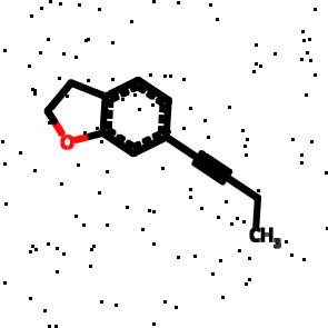 CCC#Cc1ccc2c(c1)OCC2